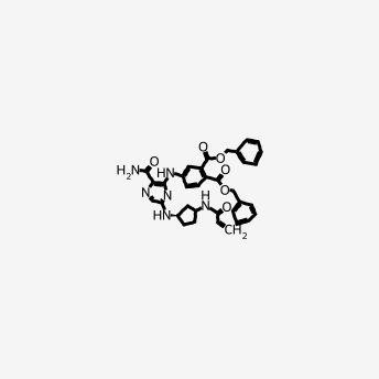 C=CC(=O)NC1CC[C@@H](Nc2cnc(C(N)=O)c(Nc3ccc(C(=O)OCc4ccccc4)c(C(=O)OCc4ccccc4)c3)n2)C1